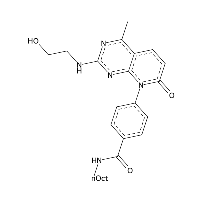 CCCCCCCCNC(=O)c1ccc(-n2c(=O)ccc3c(C)nc(NCCO)nc32)cc1